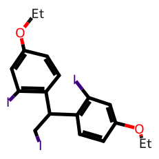 CCOc1ccc(C(CI)c2ccc(OCC)cc2I)c(I)c1